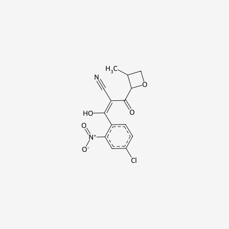 CC1COC1C(=O)C(C#N)=C(O)c1ccc(Cl)cc1[N+](=O)[O-]